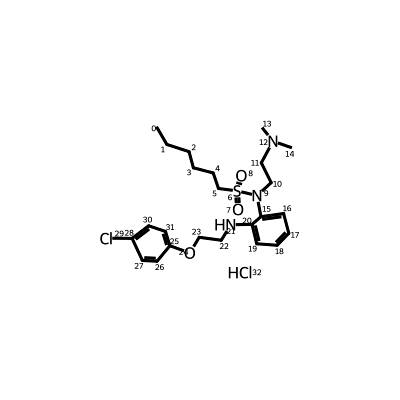 CCCCCCS(=O)(=O)N(CCN(C)C)c1ccccc1NCCOc1ccc(Cl)cc1.Cl